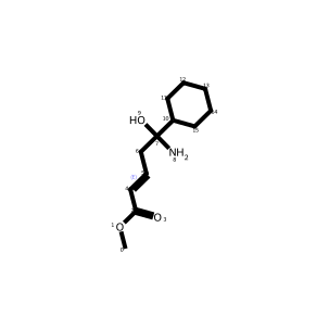 COC(=O)/C=C/CC(N)(O)C1CCCCC1